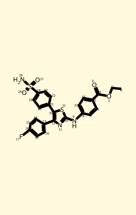 CCOC(=O)c1ccc(Nc2nc(-c3ccc(F)cc3)c(-c3ccc(S(N)(=O)=O)cc3)s2)cc1